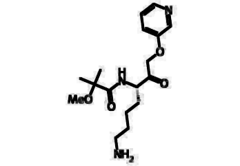 COC(C)(C)C(=O)N[C@@H](CCCCN)C(=O)COc1cccnc1